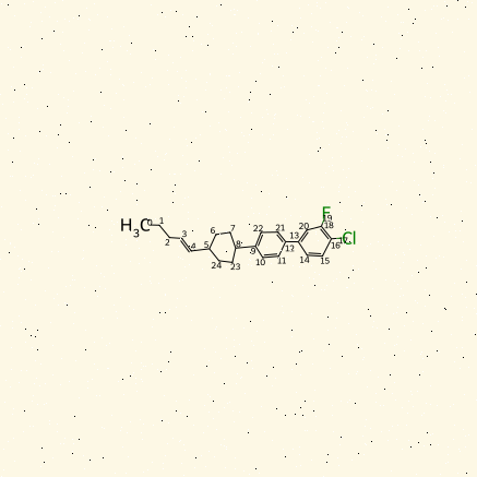 CCCC=CC1CCC(c2ccc(-c3ccc(Cl)c(F)c3)cc2)CC1